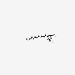 C=C(C=CCCCCCCCCCC)OC(C)=O